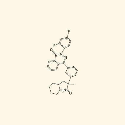 CC(CC1CCCCC1)(C(N)=O)c1cccc(-c2nn(-c3ccc(F)cc3F)c(=O)c3ccccc23)c1